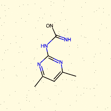 Cc1cc(C)nc(NC(=N)N=O)n1